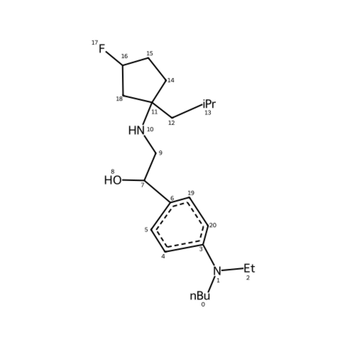 CCCCN(CC)c1ccc(C(O)CNC2(CC(C)C)CCC(F)C2)cc1